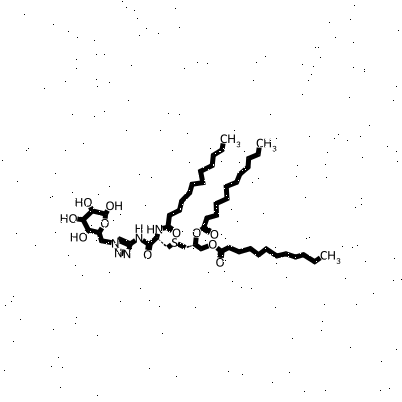 CCCCCCCCCCCC(=O)N[C@H](CSC[C@@H](COC(=O)CCCCCCCCCCC)OC(=O)CCCCCCCCCCC)C(=O)Nc1cn(CC2OC(O)C(O)C(O)C2O)nn1